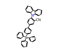 N#Cc1cc(-c2ccc([Si](c3ccccc3)(c3ccccc3)c3ccccc3)cc2)ccc1-n1c2ccccc2c2ccccc21